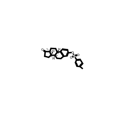 Cc1ccc(S(=O)(=O)Oc2ccc3c(c2)CC[C@@H]2[C@@H]3CC[C@]3(C)C(=O)CC[C@@H]23)cc1